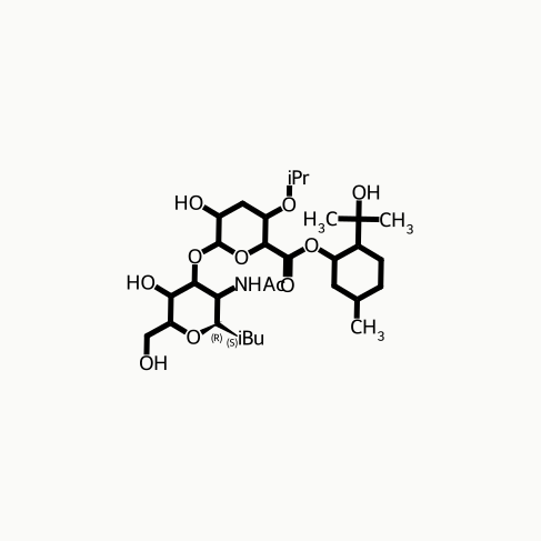 CC[C@H](C)[C@H]1OC(CO)C(O)C(OC2OC(C(=O)OC3CC(C)CCC3C(C)(C)O)C(OC(C)C)CC2O)C1NC(C)=O